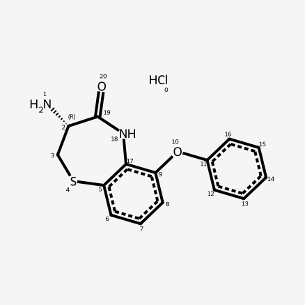 Cl.N[C@H]1CSc2cccc(Oc3ccccc3)c2NC1=O